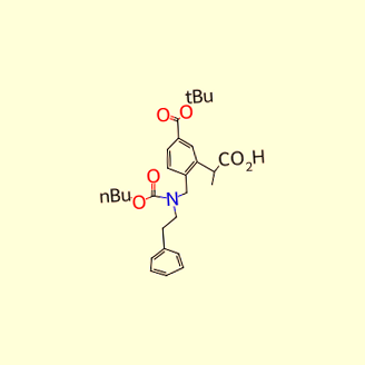 CCCCOC(=O)N(CCc1ccccc1)Cc1ccc(C(=O)OC(C)(C)C)cc1C(C)C(=O)O